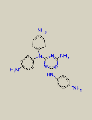 Nc1ccc(Nc2nc(N)nc(N(c3ccc(N)cc3)c3ccc(N)cc3)n2)cc1